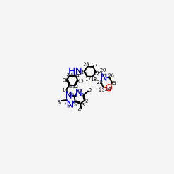 Cc1cc(C)c2nc(C)n(Cc3ccc(N[C@H]4CC[C@@H](CN5CCOCC5)CC4)cc3)c2n1